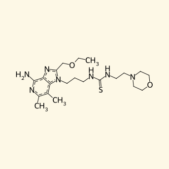 CCOCc1nc2c(N)nc(C)c(C)c2n1CCCNC(=S)NCCN1CCOCC1